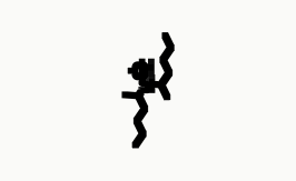 CCCCC(C)[SiH]([O])C(C)CCCC